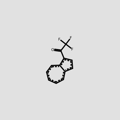 O=C(c1ccc2cccccc1-2)C(F)(F)F